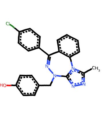 Cc1nnc2n1-c1ccccc1C(c1ccc(Cl)cc1)=NN2Cc1ccc(O)cc1